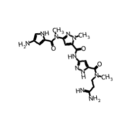 CN(CCC(=N)N)C(=O)c1cc(NC(=O)c2cc(N(C)C(=O)c3cc(N)c[nH]3)nn2C)n[nH]1